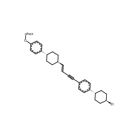 CCCCCOc1ccc([C@H]2CC[C@H](/C=C/C#Cc3ccc([C@H]4CC[C@H](CC)CC4)cc3)CC2)cc1